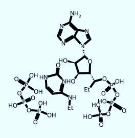 CCC(OP(=O)(O)OP(=O)(O)OP(=O)(O)O)[C@H]1O[C@@H](n2cnc3c(N)ncnc32)[C@H](O)[C@@H]1O.CCNc1cc[nH]c(=O)n1.O=P(O)(O)OP(=O)(O)OP(=O)(O)O